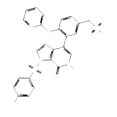 Cc1ccc(S(=O)(=O)n2ccc3c(-c4cc(CS(C)(=O)=O)ccc4Nc4ccccn4)cn(C)c(=O)c32)cc1